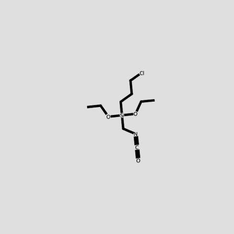 CCO[Si](CCCCl)(CN=C=O)OCC